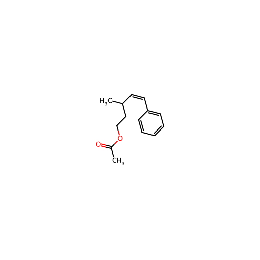 CC(=O)OCCC(C)/C=C\c1ccccc1